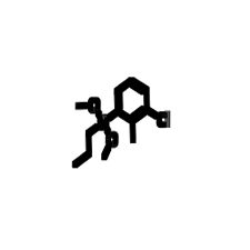 CCC[Si](OC)(OC)c1cccc(Cl)c1C